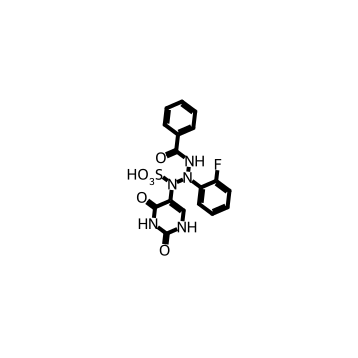 O=C(NN(c1ccccc1F)N(c1c[nH]c(=O)[nH]c1=O)S(=O)(=O)O)c1ccccc1